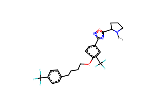 CN1CCCC1c1nc(-c2ccc(OCCCCc3ccc(C(F)(F)F)cc3)c(C(F)(F)F)c2)no1